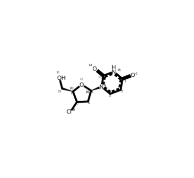 O=c1ccn([C@H]2CC(Cl)[C@@H](CO)O2)c(=O)[nH]1